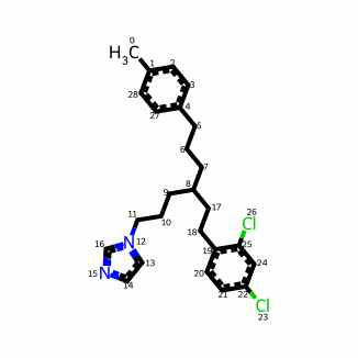 Cc1ccc(CCCC(CCCn2ccnc2)CCc2ccc(Cl)cc2Cl)cc1